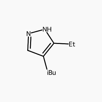 CCc1[nH]ncc1C(C)CC